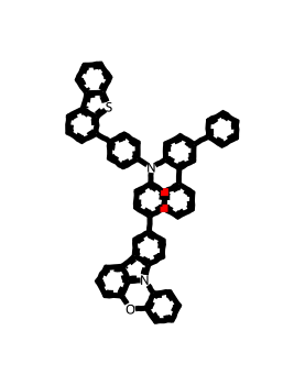 c1ccc(-c2ccc(N(c3ccc(-c4ccc5c(c4)c4cccc6c4n5-c4ccccc4O6)cc3)c3ccc(-c4cccc5c4sc4ccccc45)cc3)c(-c3ccccc3)c2)cc1